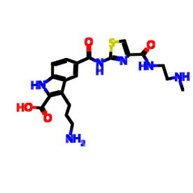 CNCCNC(=O)c1csc(NC(=O)c2ccc3[nH]c(C(=O)O)c(CCCN)c3c2)n1